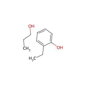 CCCO.CCc1ccccc1O